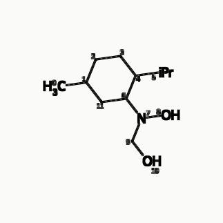 CC1CCC(C(C)C)C(N(O)CO)C1